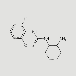 NC1CCCCC1NC(=S)Nc1c(Cl)cccc1Cl